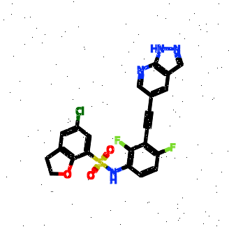 O=S(=O)(Nc1ccc(F)c(C#Cc2cnc3[nH]ncc3c2)c1F)c1cc(Cl)cc2c1OCC2